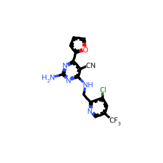 N#Cc1c(NCc2ncc(C(F)(F)F)cc2Cl)nc(N)nc1-c1ccco1